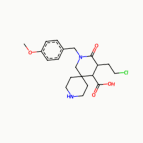 COc1ccc(CN2CC3(CCNCC3)C(C(=O)O)C(CCCl)C2=O)cc1